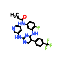 C=CC(=O)Nc1ccc(F)c(Nc2nc(Nc3cccnc3)ncc2-c2ccc(C(F)(F)F)cc2)c1